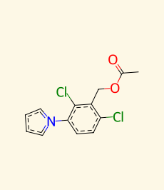 CC(=O)OCc1c(Cl)ccc(-n2cccc2)c1Cl